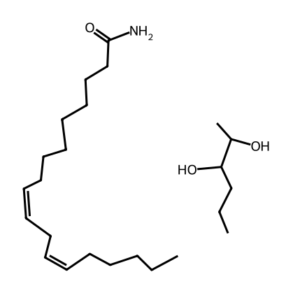 CCCC(O)C(C)O.CCCCC/C=C\C/C=C\CCCCCCCC(N)=O